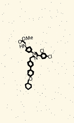 COC(=O)CNc1ccc(-n2cc(-c3ccc(Cl)cc3Cl)nc2Cc2ccc(-c3ccc(OCC4CCCCC4)cc3)cc2)cc1